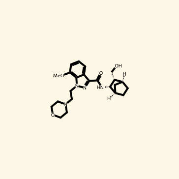 COc1cccc2c(C(=O)N[C@H]3[C@@H]4CC[C@@H](C4)[C@H]3CO)nn(CCN3CCOCC3)c12